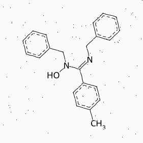 Cc1ccc(C(=NCc2ccccc2)N(O)Cc2ccccc2)cc1